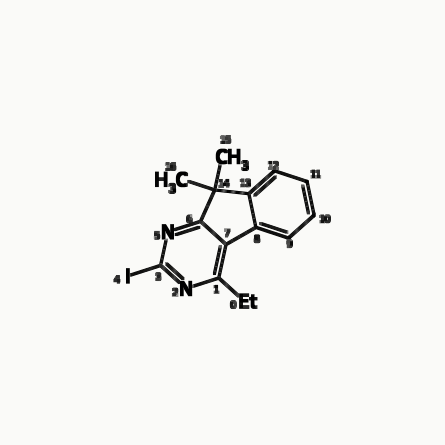 CCc1nc(I)nc2c1-c1ccccc1C2(C)C